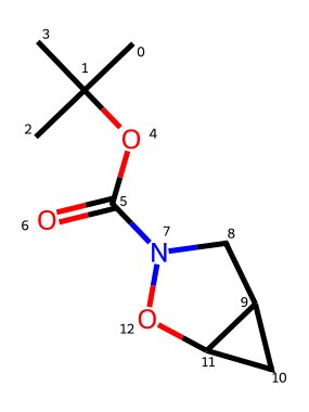 CC(C)(C)OC(=O)N1CC2CC2O1